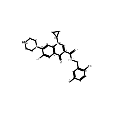 O=C(NCc1cc(Cl)ccc1F)c1cn(C2CC2)c2cc(N3CCNCC3)c(F)cc2c1=O